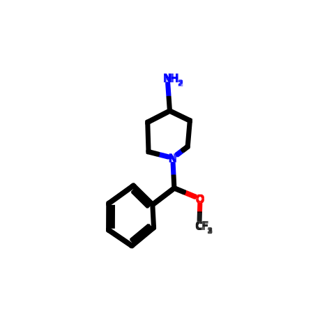 NC1CCN(C(OC(F)(F)F)c2ccccc2)CC1